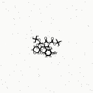 CC(C)(C)OC(=O)N1C(=O)N(C(=O)OC(C)(C)C)C2(CC3(CCCOC3)Oc3ccc(Br)cc32)C1=O